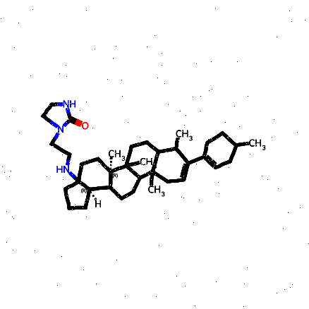 CC1CC=C(C2=CCC3(C)C(CCC4(C)C3CCC3[C@H]5CCCC5(NCCN5CCNC5=O)CC[C@]34C)C2C)CC1